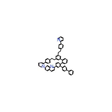 c1ccc(-c2ccc(-c3cc(-c4ccc5ccccc5n4)ccc3-c3ccccc3-c3cc(CCc4ccc(-c5ccccn5)cc4)cc(CCc4ccc(-c5ccccn5)cc4)c3)cc2)cc1